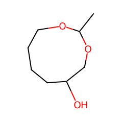 CC1OCCCCC(O)CO1